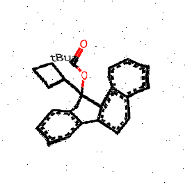 CC(C)(C)C(=O)OC1(C2CCC2)c2ccccc2-c2ccc3ccccc3c21